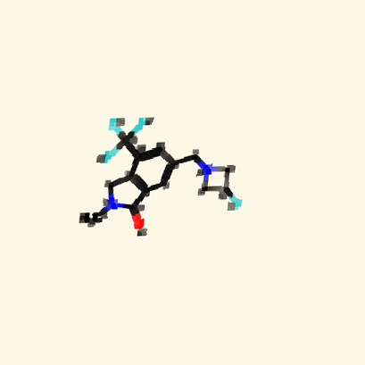 CN1Cc2c(cc(CN3CC(F)C3)cc2C(F)(F)F)C1=O